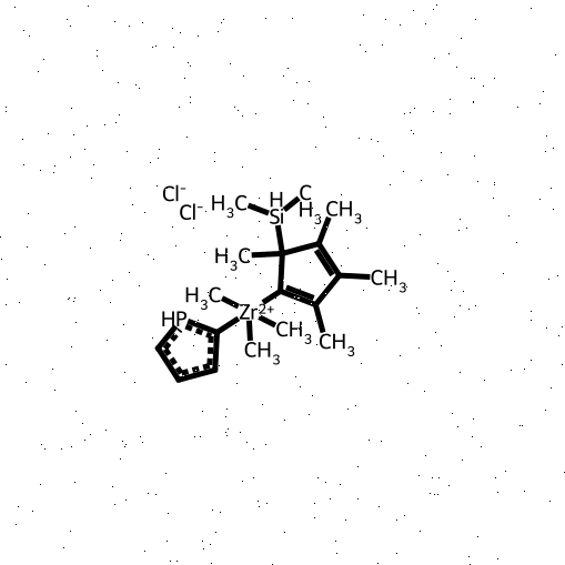 CC1=C(C)C(C)([SiH](C)C)[C]([Zr+2]([CH3])([CH3])([CH3])[c]2ccc[pH]2)=C1C.[Cl-].[Cl-]